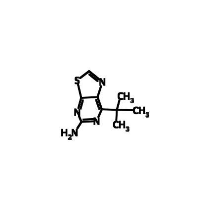 CC(C)(C)c1nc(N)nc2scnc12